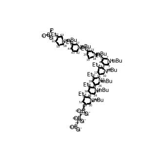 CCCC[n+]1cccc(CC)c1.CCCC[n+]1cccc(CC)c1.CCCC[n+]1cccc(CC)c1.CCCC[n+]1cccc(CC)c1.CCCC[n+]1cccc(CC)c1.CCCC[n+]1cccc(CC)c1.CCCC[n+]1cccc(CC)c1.CCCC[n+]1cccc(CC)c1.[O-]B([O-])F.[O-]B([O-])F.[O-]B([O-])F.[O-]B([O-])F